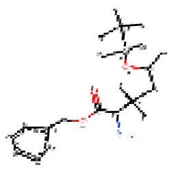 CC(CC(C)(C)C(N)C(=O)OCc1ccccc1)O[Si](C)(C)C(C)(C)C